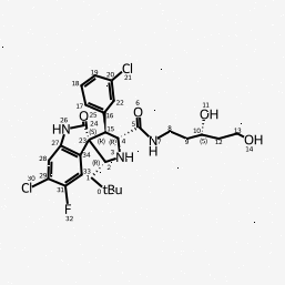 CC(C)(C)C[C@H]1N[C@@H](C(=O)NCC[C@H](O)CCO)[C@H](c2cccc(Cl)c2)[C@@]12C(=O)Nc1cc(Cl)c(F)cc12